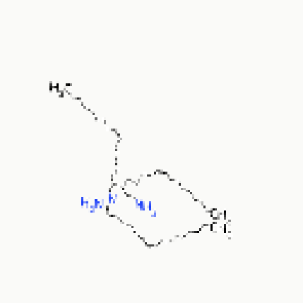 CCCCCCCC/C=C\CCCCCCC(N)[N]CC(CCCCC/C=C\CCCCCCCC)C(CCN)CCCC/C=C\CCCCCCCC